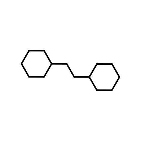 C1CC[C](CCC2CCCCC2)CC1